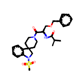 CC(C)C(=O)NC(COCc1ccccc1)C(=O)N1CCC2(CC1)CN(S(C)(=O)=O)c1ccccc12